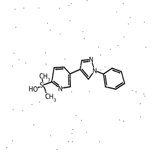 C[Si](C)(O)c1ccc(-c2cnn(-c3ccccc3)c2)cn1